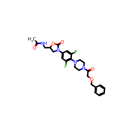 CC(=O)NCC1CN(c2cc(F)c(N3CCN(C(=O)COCc4ccccc4)CC3)c(F)c2)C(=O)O1